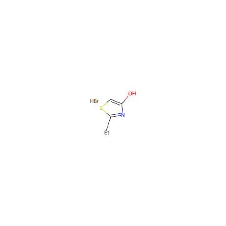 Br.CCc1nc(O)cs1